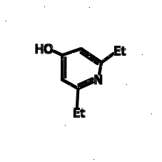 CCc1cc(O)cc(CC)n1